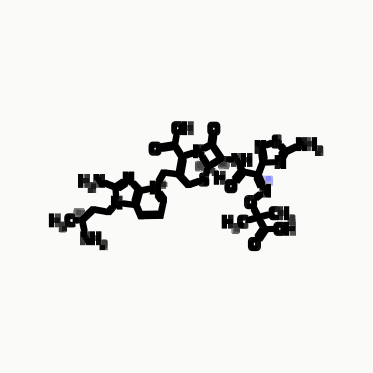 C[C@H](N)CCn1c(N)nc2c1ccc[n+]2CC1=C(C(=O)O)N2C(=O)[C@@H](NC(=O)/C(=N\OC(C)(C)C(=O)O)c3nsc(N)n3)[C@H]2SC1